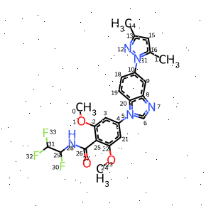 COc1cc(-n2cnc3cc(-n4nc(C)cc4C)ccc32)cc(OC)c1C(=O)NC(F)C(F)F